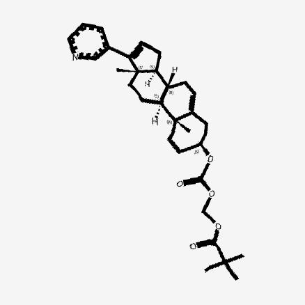 CC(C)(C)C(=O)OCOC(=O)O[C@H]1CC[C@@]2(C)C(=CC[C@@H]3[C@@H]2CC[C@]2(C)C(c4cccnc4)=CC[C@@H]32)C1